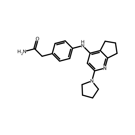 NC(=O)Cc1ccc(Nc2cc(N3CCCC3)nc3c2CCC3)cc1